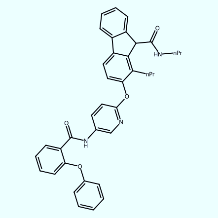 CCCNC(=O)C1c2ccccc2-c2ccc(Oc3ccc(NC(=O)c4ccccc4Oc4ccccc4)cn3)c(CCC)c21